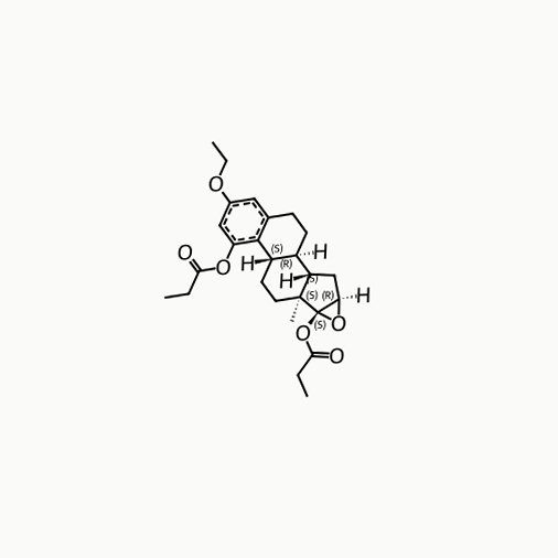 CCOc1cc2c(c(OC(=O)CC)c1)[C@H]1CC[C@@]3(C)[C@@H](C[C@H]4O[C@@]43OC(=O)CC)[C@@H]1CC2